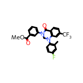 COC(=O)c1cccc(N2CN(c3ccc(F)cc3C)c3cc(C(F)(F)F)ccc3C2=O)c1